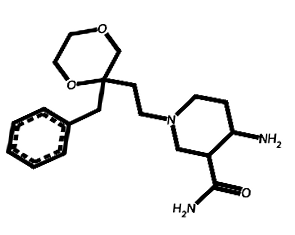 NC(=O)C1CN(CCC2(Cc3ccccc3)COCCO2)CCC1N